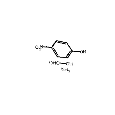 N.O=CO.O=[N+]([O-])c1ccc(O)cc1